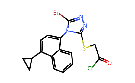 O=C(Cl)CSc1nnc(Br)n1-c1ccc(C2CC2)c2ccccc12